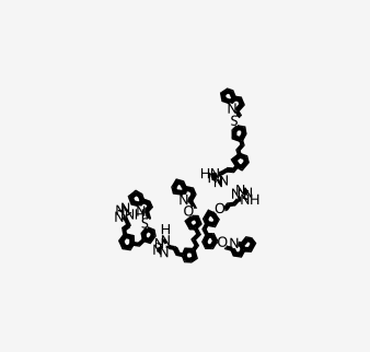 C(=COc1ccc(Cc2cccc(OCc3ccc4ccccc4n3)c2)cc1)Cc1nnn[nH]1.C(=Cc1nnn[nH]1)c1cccc(CCCc2ccc(OCc3ccc4ccccc4n3)cc2)c1.C(=Cc1nnn[nH]1)c1cccc(CCc2ccc(SCc3ccc4ccccc4n3)cc2)c1.C(=Cc1nnn[nH]1)c1cccc(Cc2cccc(SCc3ccc4ccccc4n3)c2)c1